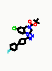 CC(C)(C)OC(=O)N1Cc2cc(Cl)ccc2-n2c(nnc2C2CC=C(c3ccc(F)cc3)CC2)C1